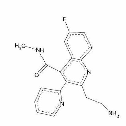 CNC(=O)c1c(-c2ccccn2)c(CCN)nc2ccc(F)cc12